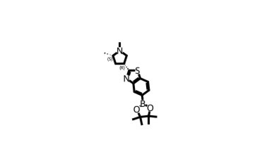 C[C@H]1C[C@@H](c2nc3cc(B4OC(C)(C)C(C)(C)O4)ccc3s2)CN1C